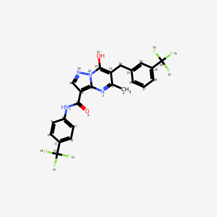 Cc1nc2c(C(=O)Nc3ccc(C(F)(F)F)cc3)cnn2c(O)c1Cc1cccc(C(F)(F)F)c1